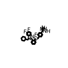 Fc1cc2nc(-c3ccccc3OCc3ccc(-c4nnn[nH]4)cc3F)n(CC3CCCCC3)c2cc1F